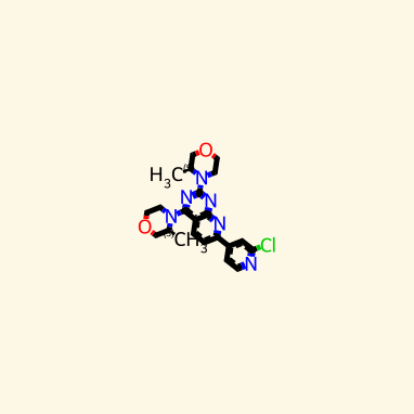 C[C@H]1COCCN1c1nc(N2CCOC[C@@H]2C)c2ccc(-c3ccnc(Cl)c3)nc2n1